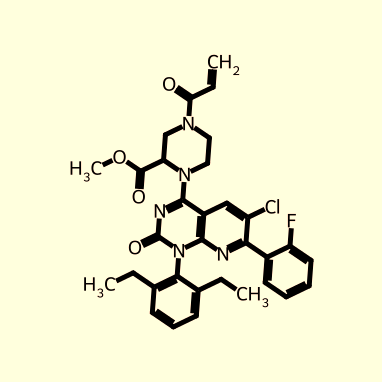 C=CC(=O)N1CCN(c2nc(=O)n(-c3c(CC)cccc3CC)c3nc(-c4ccccc4F)c(Cl)cc23)C(C(=O)OC)C1